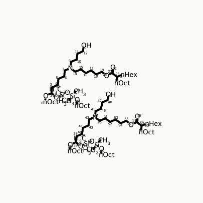 CCCCCCCCOC(CCCCCN(CCCCO)CCCCCCOC(=O)C(CCCCCC)CCCCCCCC)O[Si](C)(C)O[Si](C)(C)OCCCCCCCC.CCCCCCCCOC(CCCCCN(CCCCO)CCCCCCOC(=O)C(CCCCCC)CCCCCCCC)O[Si](C)(C)O[Si](C)(C)OCCCCCCCC